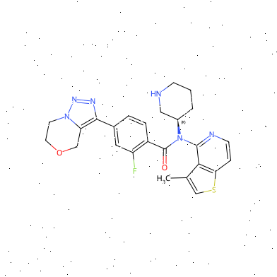 Cc1csc2ccnc(N(C(=O)c3ccc(-c4nnn5c4COCC5)cc3F)[C@@H]3CCCNC3)c12